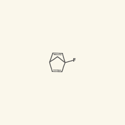 FC12C=CC(C=C1)C2